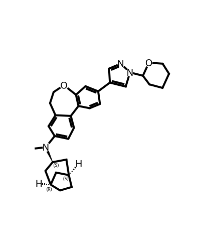 CN(c1ccc2c(c1)CCOc1cc(-c3cnn(C4CCCCO4)c3)ccc1-2)[C@@H]1C[C@@H]2CC[C@@H](C2)C1